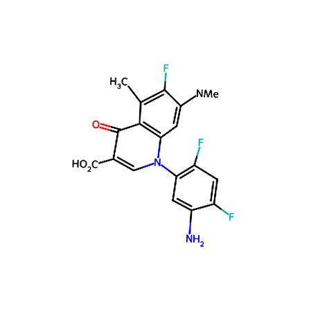 CNc1cc2c(c(C)c1F)c(=O)c(C(=O)O)cn2-c1cc(N)c(F)cc1F